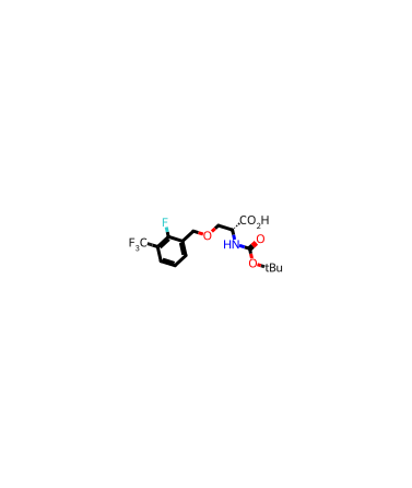 CC(C)(C)OC(=O)N[C@H](COCc1cccc(C(F)(F)F)c1F)C(=O)O